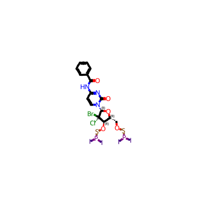 O=C(Nc1ccn([C@@H]2O[C@H](COSP(I)I)[C@@H](OSP(I)I)[C@@]2(Cl)Br)c(=O)n1)c1ccccc1